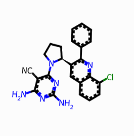 N#Cc1c(N)nc(N)nc1N1CCC[C@H]1c1cc2cccc(Cl)c2nc1-c1ccccc1